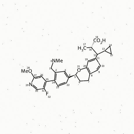 CNCc1cc([C@@H]2CCc3ccc(C(C4CC4)[C@H](C)C(=O)O)cc3O2)ccc1-c1cc(OC)ncc1F